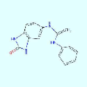 C=C(Nc1ccccc1)Nc1ccc2[nH]c(=O)[nH]c2c1